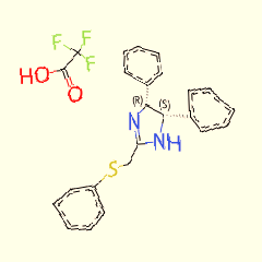 O=C(O)C(F)(F)F.c1ccc(SCC2=N[C@H](c3ccccc3)[C@H](c3ccccc3)N2)cc1